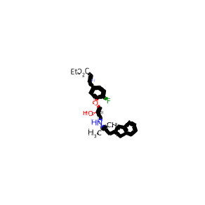 CCOC(=O)/C=C/c1ccc(F)c(OC[C@@H](O)CNC(C)(C)CC2Cc3ccccc3C2)c1